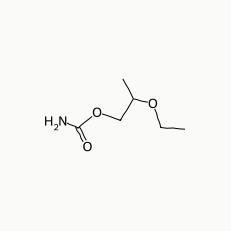 CCOC(C)COC(N)=O